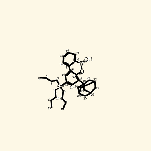 CCCC[Si](CCCC)(CCCC)c1cc2c(c(C34CC5CC(CC(C5)C3)C4)c1)OB(O)c1ccccc1-2